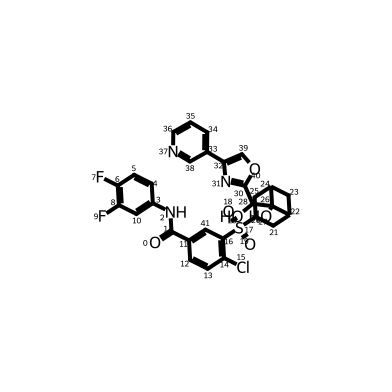 O=C(Nc1ccc(F)c(F)c1)c1ccc(Cl)c(S(=O)(=O)C2CC3CC(C2)C3(O)C(O)c2nc(-c3cccnc3)co2)c1